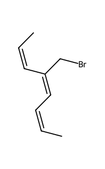 C\C=C/C=C(\C=C/C)CBr